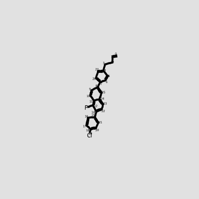 C=CCCc1ccc(-c2ccc3c(F)c(-c4ccc(Cl)cc4)ccc3c2)cc1